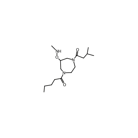 CCCCC(=O)N1CCN(C(=O)CC(C)C)CC(ONC)C1